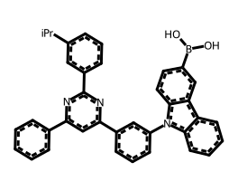 CC(C)c1cccc(-c2nc(-c3ccccc3)cc(-c3cccc(-n4c5ccccc5c5cc(B(O)O)ccc54)c3)n2)c1